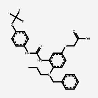 CCCN(Cc1ccccc1)c1ccc(OCC(=O)O)cc1NC(=O)Nc1ccc(OC(F)(F)F)cc1